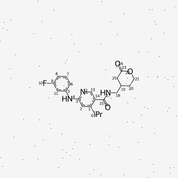 CC(C)c1cc(Nc2cccc(F)c2)ncc1C(=O)NCC1CCOC(=O)C1